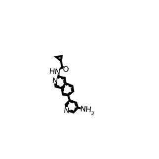 Nc1cncc(-c2ccc3cc(NC(=O)C4CC4)ncc3c2)c1